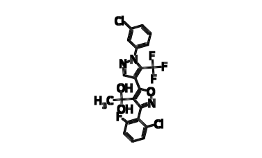 CC(O)(O)c1c(-c2c(F)cccc2Cl)noc1-c1cnn(-c2cccc(Cl)c2)c1C(F)(F)F